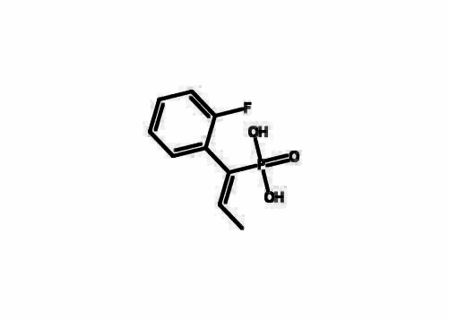 CC=C(c1ccccc1F)P(=O)(O)O